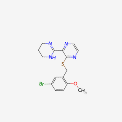 COc1ccc(Br)cc1CSc1nccnc1C1=NCCCN1